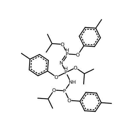 Cc1ccc(OP(N[PH](N=[PH](Oc2ccc(C)cc2)OC(C)C)(Oc2ccc(C)cc2)OC(C)C)OC(C)C)cc1